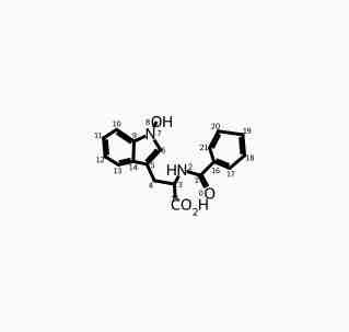 O=C(NC(Cc1cn(O)c2ccccc12)C(=O)O)c1ccccc1